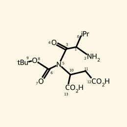 CC(C)C(N)C(=O)N(C(=O)OC(C)(C)C)C(CC(=O)O)C(=O)O